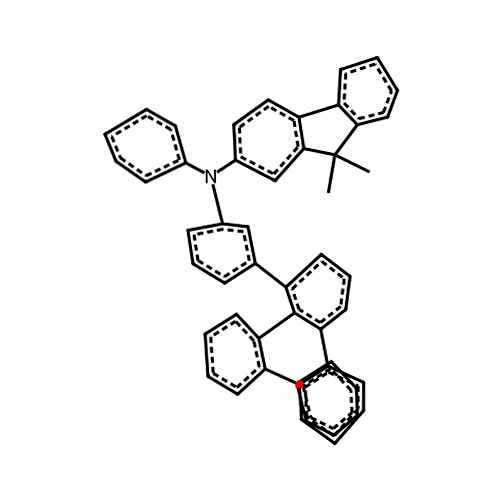 CC1(C)c2ccccc2-c2ccc(N(c3ccccc3)c3cccc(-c4cccc(-c5ccccc5)c4-c4ccccc4-c4ccccc4)c3)cc21